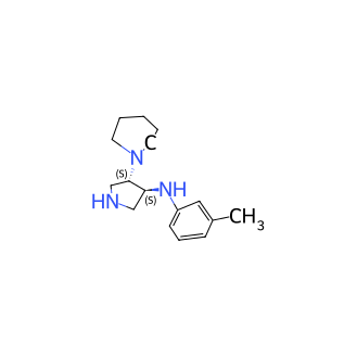 Cc1cccc(N[C@H]2CNC[C@@H]2N2CCCCC2)c1